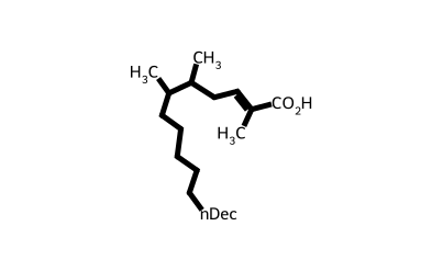 CCCCCCCCCCCCCCCC(C)C(C)CC=C(C)C(=O)O